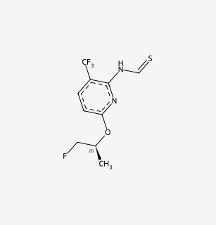 C[C@@H](CF)Oc1ccc(C(F)(F)F)c(NC=S)n1